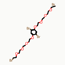 BrCCOCCOCCOCCOc1cc(Br)c(OCCOCCOCCOCCBr)cc1Br